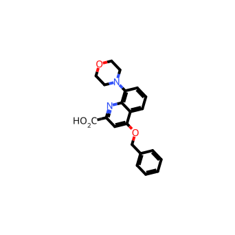 O=C(O)c1cc(OCc2ccccc2)c2cccc(N3CCOCC3)c2n1